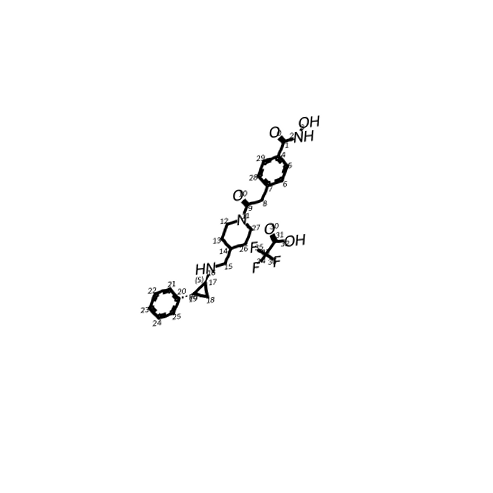 O=C(NO)c1ccc(CC(=O)N2CCC(CN[C@H]3C[C@@H]3c3ccccc3)CC2)cc1.O=C(O)C(F)(F)F